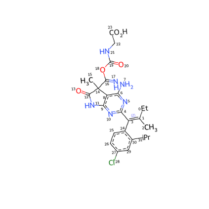 CC/C(C)=C(\c1nc(N)c2c(n1)NC(=O)C2(C)C(=N)OC(=O)NCC(=O)O)c1ccc(Cl)cc1C(C)C